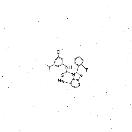 CC(C)c1cc(Cl)cc(NC(=S)N2c3c(C#N)cccc3SC2c2ccccc2F)c1